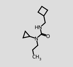 CCCN(C(=O)NCC1CCC1)C1CC1